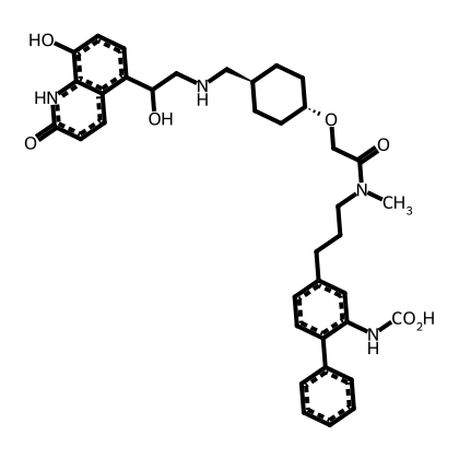 CN(CCCc1ccc(-c2ccccc2)c(NC(=O)O)c1)C(=O)CO[C@H]1CC[C@H](CNCC(O)c2ccc(O)c3[nH]c(=O)ccc23)CC1